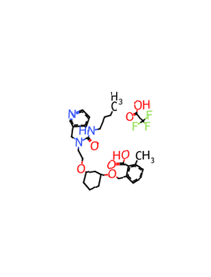 CCCCNC(=O)N(CCOC1CCCC(OCc2cccc(C)c2C(=O)O)C1)Cc1cccnc1.O=C(O)C(F)(F)F